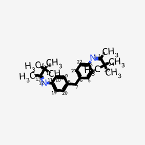 CC(=Nc1ccc(Cc2ccc(N=C(C)C(C)(C)C)cc2)cc1)C(C)(C)C